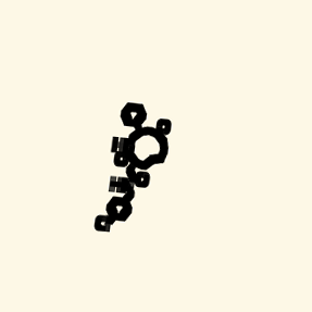 O=C1CC/C=C/C[C@@H](CC(=O)NCc2ccc(Cl)cc2)C(=O)BC[C@@H](c2ccccc2)C1